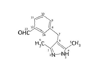 Cc1n[nH]c(C)c1Cc1cccc(C=O)c1